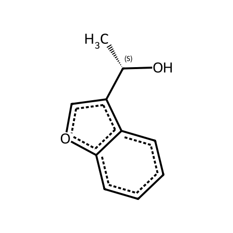 C[C@H](O)c1coc2ccccc12